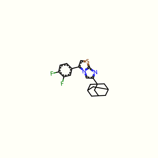 Fc1ccc(-c2csc3nc(C45CC6CC(CC(C6)C4)C5)cn23)cc1F